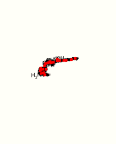 CCCCCCCCCCCCCCCCN(CCSCC(NC(C)=O)C(=O)NC(CO)C(=O)NCc1ccc(Cn2c(CCCC)nc3c(N)nc4ccccc4c32)cc1)C(=O)O